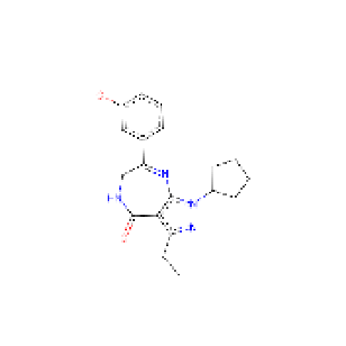 CCc1nn(C2CCCC2)c2c1C(=O)NCC(c1cccc(OC)c1)=N2